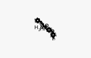 N[C@@H](COCc1ccccc1)C(=O)Nc1ccc(Oc2ccc(F)cc2)cc1